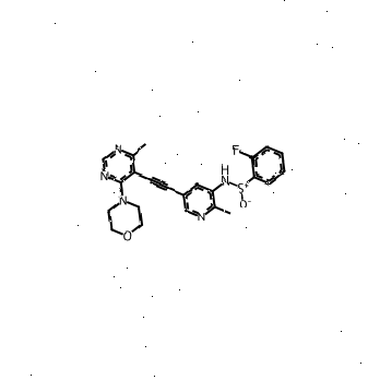 Cc1ncc(C#Cc2c(C)ncnc2N2CCOCC2)cc1N[S+]([O-])c1ccccc1F